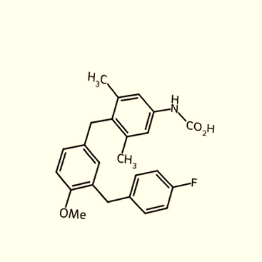 COc1ccc(Cc2c(C)cc(NC(=O)O)cc2C)cc1Cc1ccc(F)cc1